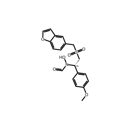 COc1ccc([C@@H](CS(=O)(=O)Cc2ccc3occc3c2)N(O)C=O)cc1